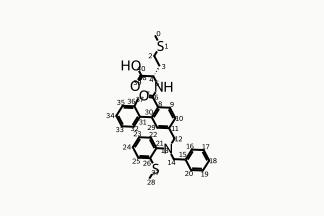 CSCC[C@H](NC(=O)c1ccc(CN(Cc2ccccc2)c2ccccc2SC)cc1-c1ccccc1C)C(=O)O